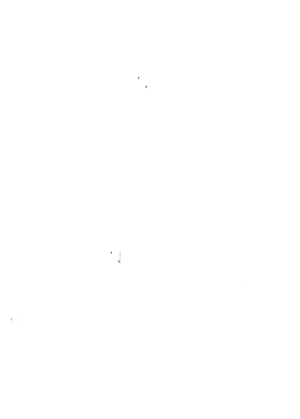 CC(C)(C)CCN(CCC#N)C1COC1